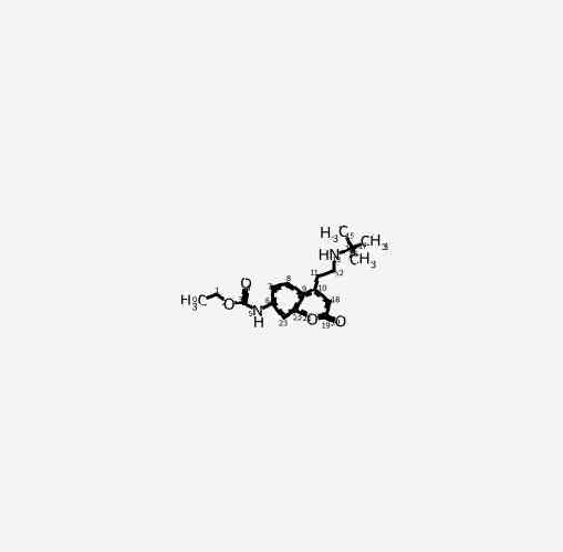 CCOC(=O)Nc1ccc2c(CCNC(C)(C)C)cc(=O)oc2c1